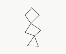 [CH]1CC12CC1(CCC1)C2